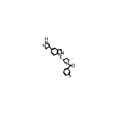 Cc1cccc(C(=O)N2C[C@H](Cn3ncc4cc(-c5cn[nH]c5)ccc43)C[C@@H]2C)c1